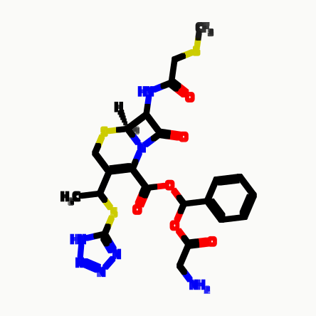 CC(Sc1nnn[nH]1)C1=C(C(=O)OC(OC(=O)CN)c2ccccc2)N2C(=O)C(NC(=O)CSC(F)(F)F)[C@@H]2SC1